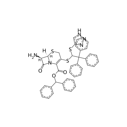 N[C@@H]1C(=O)N2C(C(=O)OC(c3ccccc3)c3ccccc3)=C(SC(Sc3c[nH]nn3)C(c3ccccc3)(c3ccccc3)c3ccccc3)CS[C@H]12